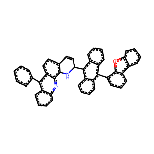 C1=CC(c2c3ccccc3c(-c3cccc4c3oc3ccccc34)c3ccccc23)Nc2c1ccc1c(-c3ccccc3)c3ccccc3nc21